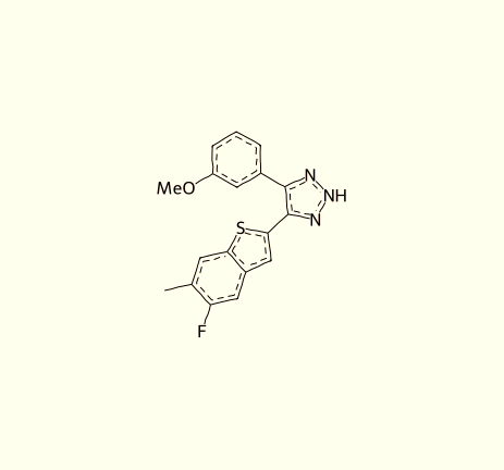 COc1cccc(-c2n[nH]nc2-c2cc3cc(F)c(C)cc3s2)c1